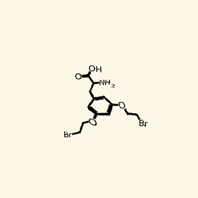 NC(Cc1cc(OCCBr)cc(OCCBr)c1)C(=O)O